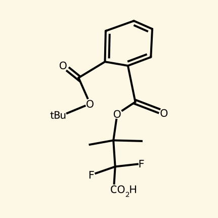 CC(C)(C)OC(=O)c1ccccc1C(=O)OC(C)(C)C(F)(F)C(=O)O